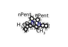 CCCCCc1ccc(N2B3c4cc(CCCCC)ccc4-n4c5cc6ccccc6cc5c5c(C)cc(c3c54)-c3cc4c(cc32)C(C)(C)c2ccccc2-4)cc1